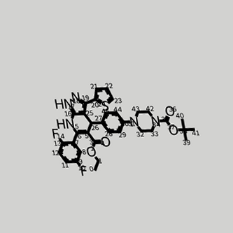 CCOC(=O)C1=C(c2cc(F)ccc2F)Nc2[nH]nc(-c3cccs3)c2C1c1ccc(N2CCN(C(=O)OC(C)(C)C)CC2)cc1